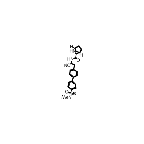 CNS(=O)(=O)c1ccc(-c2ccc(C[C@@H](C#N)NC(=O)[C@H]3N[C@@H]4CC[C@H]3C4)cc2)cc1